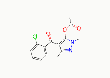 CC(=O)Oc1c(C(=O)c2ccccc2Cl)c(C)nn1C